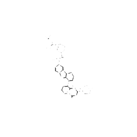 CC(C)(C)OC(=O)N1CCCC(C(=O)Nc2ccc3sc4c(-c5cccn6c(=O)cc(N7CCOCC7)nc56)cccc4c3c2)C1